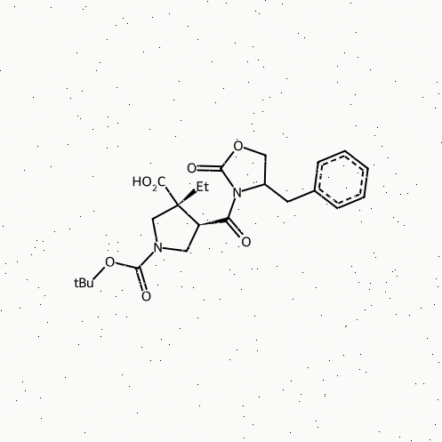 CC[C@]1(C(=O)O)CN(C(=O)OC(C)(C)C)C[C@@H]1C(=O)N1C(=O)OCC1Cc1ccccc1